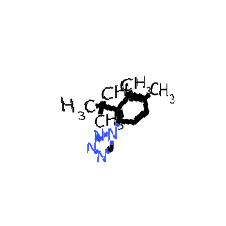 Cc1ccc(-n2cnnn2)c(C(C)(C)C)c1C